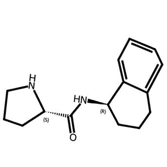 O=C(N[C@@H]1CCCc2ccccc21)[C@@H]1CCCN1